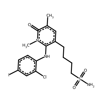 Cc1cc(CCCCS(N)(=O)=O)c(Nc2ccc(I)cc2Cl)n(C)c1=O